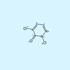 O=c1c(Cl)ccnn1Cl